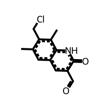 Cc1cc2cc(C=O)c(=O)[nH]c2c(C)c1CCl